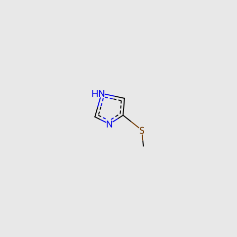 CSc1c[nH]cn1